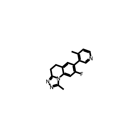 Cc1ccncc1-c1cc2c(cc1F)-n1c(C)nnc1CC2